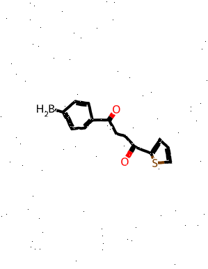 Bc1ccc(C(=O)CCC(=O)c2cccs2)cc1